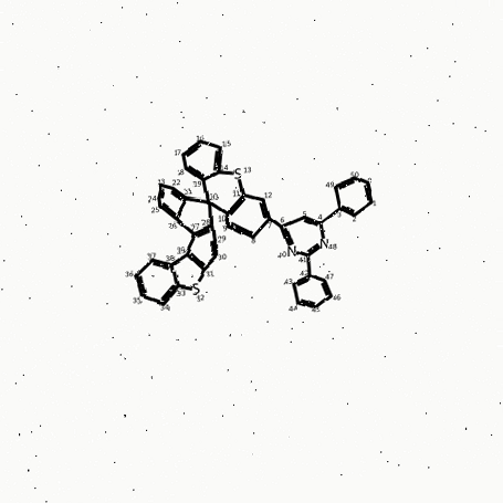 c1ccc(-c2cc(-c3ccc4c(c3)Sc3ccccc3C43c4ccccc4-c4c3ccc3sc5ccccc5c43)nc(-c3ccccc3)n2)cc1